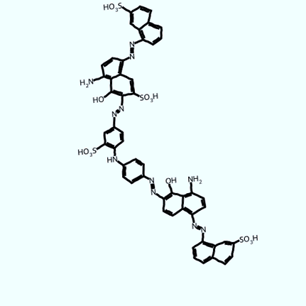 Nc1ccc(N=Nc2cccc3ccc(S(=O)(=O)O)cc23)c2ccc(N=Nc3ccc(Nc4ccc(N=Nc5c(S(=O)(=O)O)cc6c(N=Nc7cccc8ccc(S(=O)(=O)O)cc78)ccc(N)c6c5O)cc4S(=O)(=O)O)cc3)c(O)c12